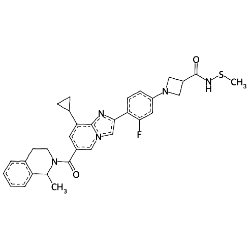 CSNC(=O)C1CN(c2ccc(-c3cn4cc(C(=O)N5CCc6ccccc6C5C)cc(C5CC5)c4n3)c(F)c2)C1